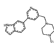 CCN1CCN(Cc2cncc(-c3ccc4cc[nH]c4c3)c2)CC1